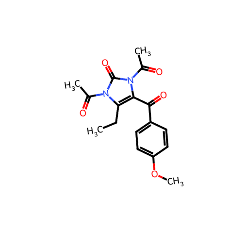 CCc1c(C(=O)c2ccc(OC)cc2)n(C(C)=O)c(=O)n1C(C)=O